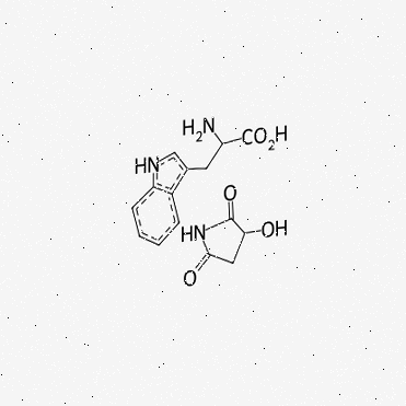 NC(Cc1c[nH]c2ccccc12)C(=O)O.O=C1CC(O)C(=O)N1